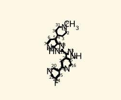 CN1CCC(c2ccnc3[nH]c(-c4n[nH]c5cnc(-c6cncc(F)c6)cc45)nc23)CC1